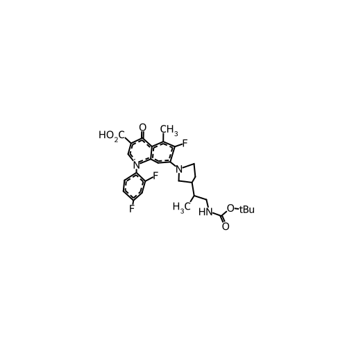 Cc1c(F)c(N2CCC(C(C)CNC(=O)OC(C)(C)C)C2)cc2c1c(=O)c(C(=O)O)cn2-c1ccc(F)cc1F